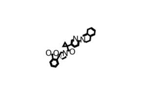 O=C1O[C@]2(CCN(C(=O)C3(c4ccc(N5C=C6CC=CC=C6CC5)nc4)CC3)C2)c2ccccc21